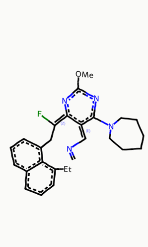 C=N/C=c1/c(N2CCCCCC2)nc(OC)n/c1=C(\F)Cc1cccc2cccc(CC)c12